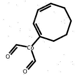 O=[CH][Co]([CH]=O)[C]1=CC=CCCCC1